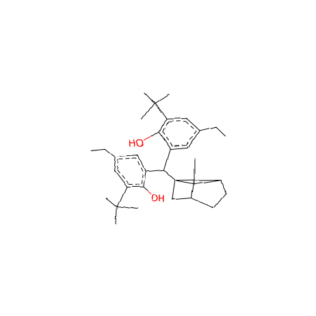 CCc1cc(C(c2cc(CC)cc(C(C)(C)C)c2O)C23CC4CCC2C43C)c(O)c(C(C)(C)C)c1